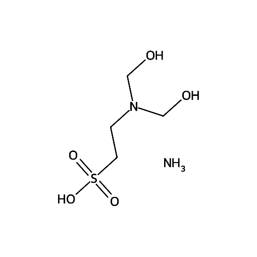 N.O=S(=O)(O)CCN(CO)CO